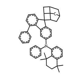 CC1(C)CCC(C)(C)c2c(N(c3ccccc3)c3ccc4c(c3)-c3c(-c5ccccc5)cccc3C43C4CC5CC6CC3C64C5)cccc21